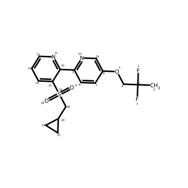 CC(F)(F)COc1ccc(-c2ncccc2S(=O)(=O)CC2CC2)nc1